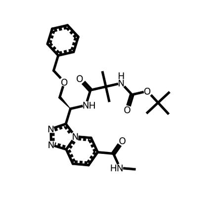 CNC(=O)c1ccc2nnc([C@@H](COCc3ccccc3)NC(=O)C(C)(C)NC(=O)OC(C)(C)C)n2c1